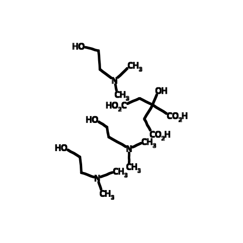 CN(C)CCO.CN(C)CCO.CN(C)CCO.O=C(O)CC(O)(CC(=O)O)C(=O)O